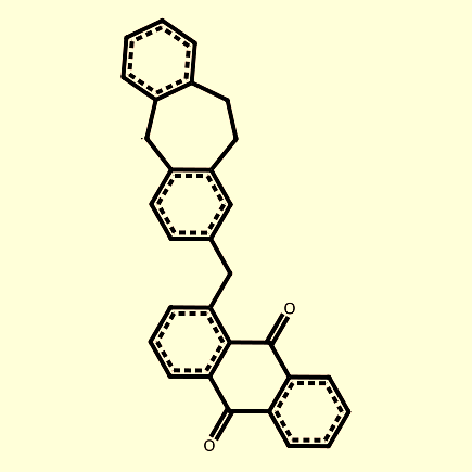 O=C1c2ccccc2C(=O)c2c(Cc3ccc4c(c3)CCc3ccccc3[CH]4)cccc21